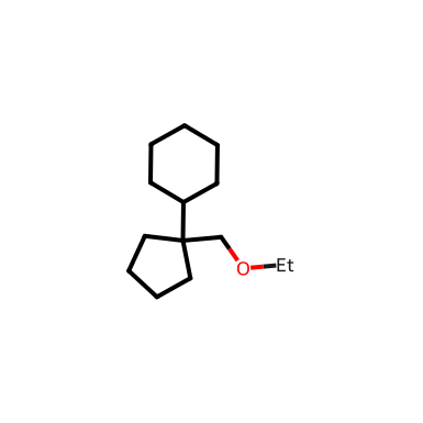 CCOCC1(C2CCCCC2)CCCC1